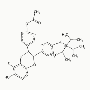 CC(=O)Oc1ccc(C2Sc3c(ccc(O)c3F)OC2c2ccc(O[Si](C(C)C)(C(C)C)C(C)C)cc2)cc1